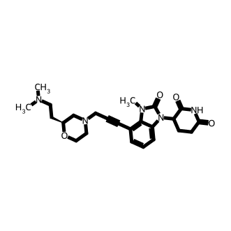 CN(C)CC[C@H]1CN(CC#Cc2cccc3c2n(C)c(=O)n3C2CCC(=O)NC2=O)CCO1